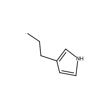 [CH2]CCc1cc[nH]c1